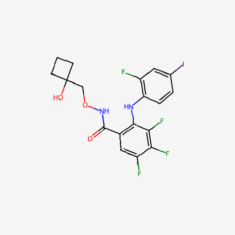 O=C(NOCC1(O)CCC1)c1cc(F)c(F)c(F)c1Nc1ccc(I)cc1F